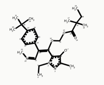 CCn1nc(C)c(Cl)c1/C(OCOC(=O)C(C)(C)CC)=C(\C=N/C)c1ccc(C(C)(C)C)cc1